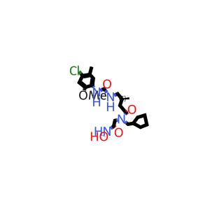 COc1cc(Cl)c(C)cc1NC(=O)NC[C@@H](C)CC(=O)N(CC(=O)NO)CC1CCCC1